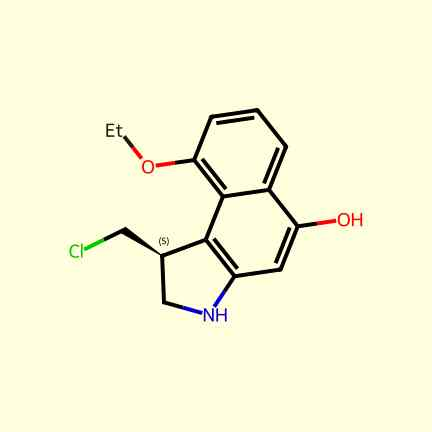 CCOc1cccc2c(O)cc3c(c12)[C@H](CCl)CN3